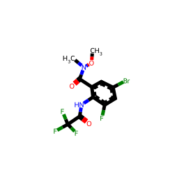 CON(C)C(=O)c1cc(Br)cc(F)c1NC(=O)C(F)(F)F